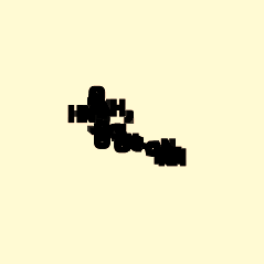 CCN(C(=O)[C@@H]1CCN(CC(=O)N2CC=C(c3ccc(C(=N)/N=C\NC)cc3)CC2)C1)c1ccc(N)c(C(=N)N2CCOCC2)c1